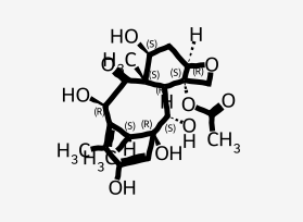 CC(=O)O[C@@]12CO[C@@H]1C[C@H](O)[C@@]1(C)C(=O)[C@H](O)C3=C(C)C(O)=C[C@](O)([C@H]3C)[C@@H](O)[C@H]21